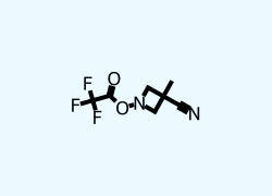 CC1(C#N)CN(OC(=O)C(F)(F)F)C1